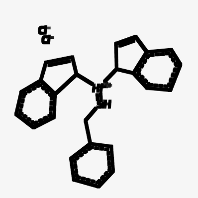 C1=C[CH]([Hf+2](=[SiH]Cc2ccccc2)[CH]2C=Cc3ccccc32)c2ccccc21.[Cl-].[Cl-]